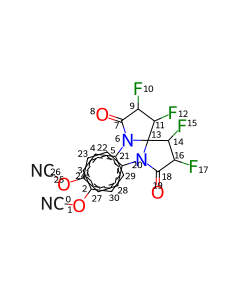 N#COc1ccc(N2C(=O)C(F)C(F)C23C(F)C(F)C(=O)N3c2ccc(OC#N)cc2)cc1